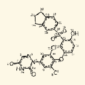 O=c1cnn(-c2cc(Cl)c(Oc3ccc(O)c(S(=O)(=O)c4ccc5c(c4)CCC5)c3)c(Cl)c2)c(=O)[nH]1